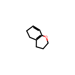 C1=CC2=C(CC1)CCCO2